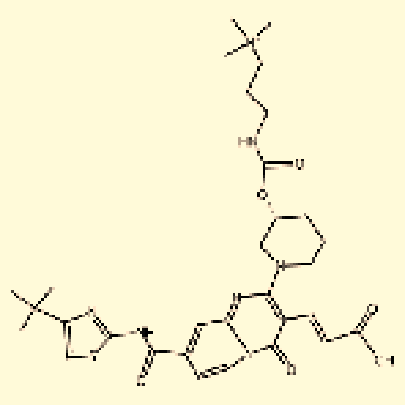 CC(C)(C)c1csc(NC(=O)c2ccn3c(=O)c(C=CC(=O)O)c(N4CCC[C@@H](OC(=O)NCCC[N+](C)(C)C)C4)nc3c2)n1